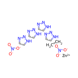 C=C.O=[N+]([O-])[O-].O=[N+]([O-])[O-].[Zn+2].c1c[nH]nn1.c1c[nH]nn1.c1c[nH]nn1.c1c[nH]nn1